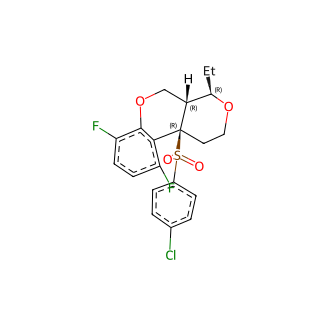 CC[C@H]1OCC[C@]2(S(=O)(=O)c3ccc(Cl)cc3)c3c(F)ccc(F)c3OC[C@H]12